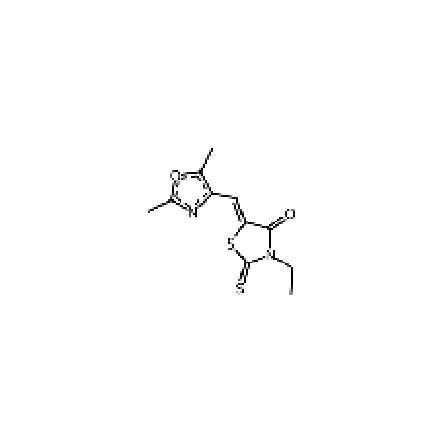 CCN1C(=O)/C(=C/c2nc(C)oc2C)SC1=S